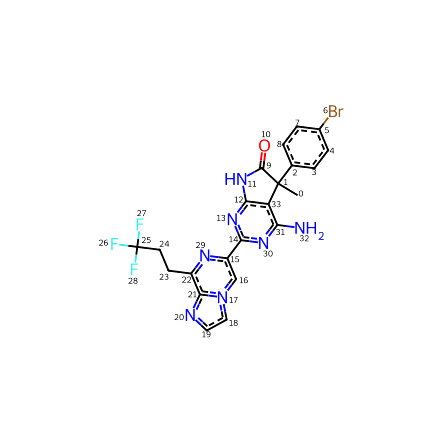 CC1(c2ccc(Br)cc2)C(=O)Nc2nc(-c3cn4ccnc4c(CCC(F)(F)F)n3)nc(N)c21